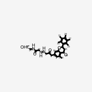 Cc1cc(CC(=O)CNNCC(=O)NCC=O)cc2c1C(=O)CC(c1c(C)c(C)c(C)c(C)c1C)O2